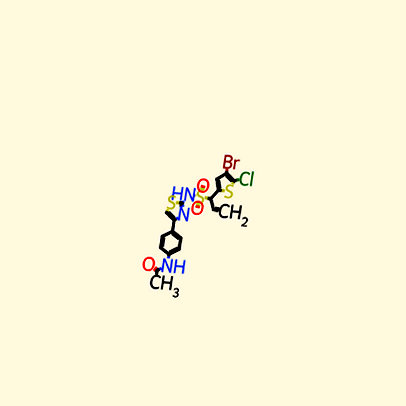 C=CC(c1cc(Br)c(Cl)s1)S(=O)(=O)Nc1nc(-c2ccc(NC(C)=O)cc2)cs1